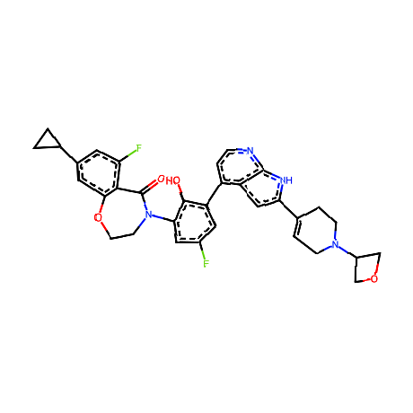 O=C1c2c(F)cc(C3CC3)cc2OCCN1c1cc(F)cc(-c2ccnc3[nH]c(C4=CCN(C5COC5)CC4)cc23)c1O